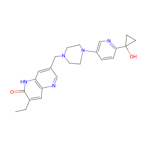 CCc1cc2ncc(CN3CCN(c4ccc(C5(O)CC5)nc4)CC3)cc2[nH]c1=O